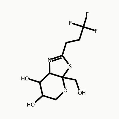 OCC12OCC(O)C(O)C1N=C(CCC(F)(F)F)S2